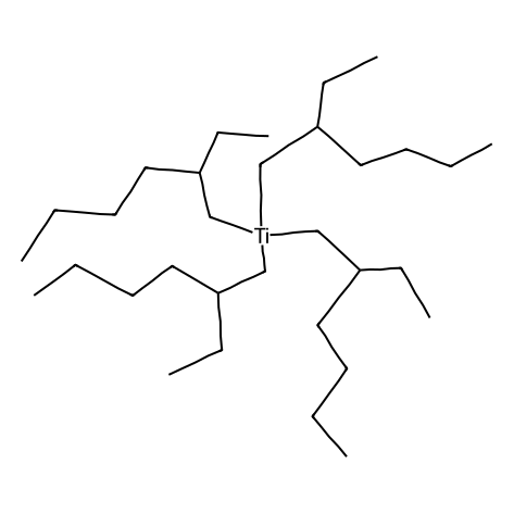 CCCCC(CC)[CH2][Ti]([CH2]C(CC)CCCC)([CH2]C(CC)CCCC)[CH2]C(CC)CCCC